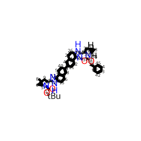 CC(C)(C)OC(=O)N1C2CC2(C)C[C@H]1c1nc2c(ccc3cc(-c4ccc5c(ccc6[nH]c([C@@H]7C[C@H]8C[C@H]8N7C(=O)OCc7ccccc7)nc65)c4)ccc32)[nH]1